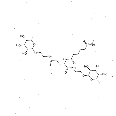 CNC(=O)CCCCC(=O)N[C@@H](CCC(=O)NCCO[C@@H]1O[C@@H](C)[C@@H](O)[C@@H](O)[C@@H]1O)C(=O)NCCO[C@@H]1O[C@@H](C)[C@@H](O)[C@@H](O)[C@@H]1O